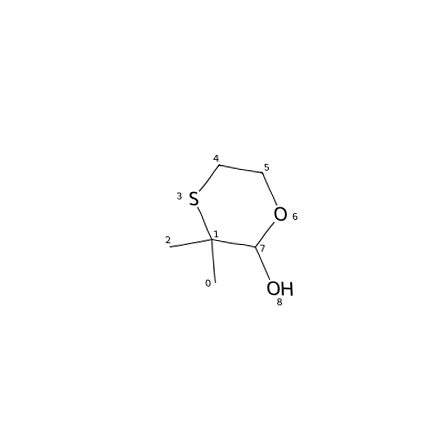 CC1(C)SCCOC1O